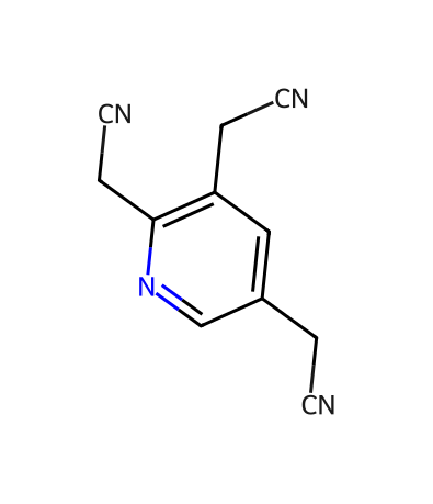 N#CCc1cnc(CC#N)c(CC#N)c1